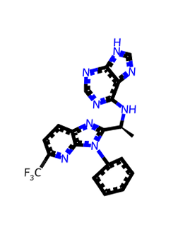 C[C@H](Nc1ncnc2[nH]cnc12)c1nc2ccc(C(F)(F)F)nc2n1-c1ccccc1